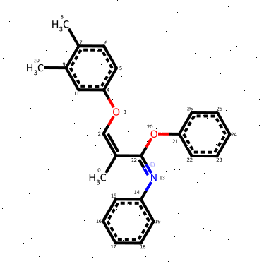 CC(=COc1ccc(C)c(C)c1)/C(=N\c1ccccc1)Oc1ccccc1